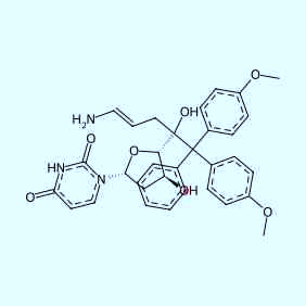 COc1ccc(C(c2ccccc2)(c2ccc(OC)cc2)C(O)(CC=CN)[C@H]2O[C@@H](n3ccc(=O)[nH]c3=O)C[C@@H]2O)cc1